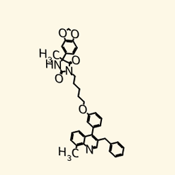 Cc1cccc2c(-c3cccc(OCCCCCN4C(=O)NC(C)(c5ccc6c(c5)OCO6)C4=O)c3)c(Cc3ccccc3)cnc12